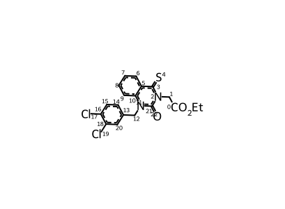 CCOC(=O)Cn1c(=S)c2ccccc2n(Cc2ccc(Cl)c(Cl)c2)c1=O